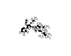 CC(=O)OC[C@H]1C(N=[N+]=[N-])[C@H](n2ccc(=O)[nH]c2=O)O[C@@H]1COP(=O)(N[C@@H](C)C(=O)OC(C)C)OCCSC(=O)C(C)(C)C